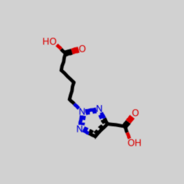 O=C(O)CCCn1n[c]c(C(=O)O)n1